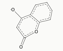 [O]c1cc(=O)oc2ccccc12